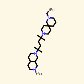 CC(C)(C)CN1CCCC2(CCN(C(C)(C)CCC(C)(C)N3CCC4CCN(C(C)(C)C)CC4C3)CC2)C1